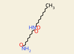 CCCCCCCCCCCC(=O)NC(=O)CCCCCCCCC(N)=O